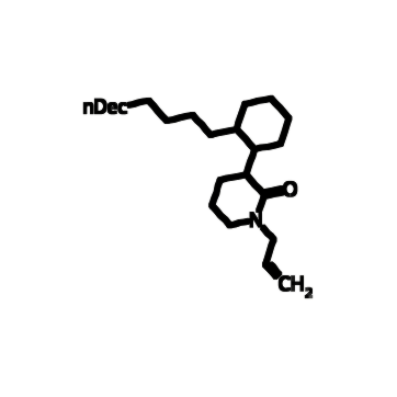 C=CCN1CCCC(C2CCCCC2CCCCCCCCCCCCCC)C1=O